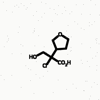 O=C(O)C(Cl)(CO)C1CCOC1